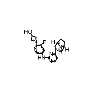 OC1CN(c2ncc(Nc3nccc(N4C[C@H]5CC[C@@H](C4)N5)n3)cc2F)C1